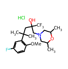 COc1ccc(F)cc1C(C)(C)CC(O)(CN1CC(C)OC(C)C1)C(F)(F)F.Cl